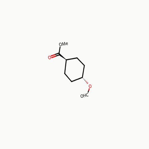 COC(=O)[C@H]1CC[C@H](OC=O)CC1